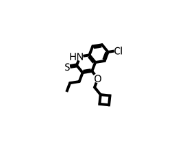 CCCc1c(OCC2CCC2)c2cc(Cl)ccc2[nH]c1=S